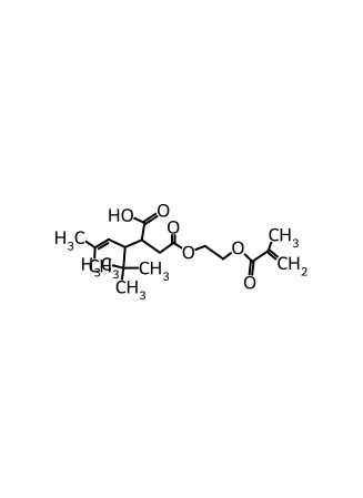 C=C(C)C(=O)OCCOC(=O)CC(C(=O)O)C(C=C(C)C)C(C)(C)C